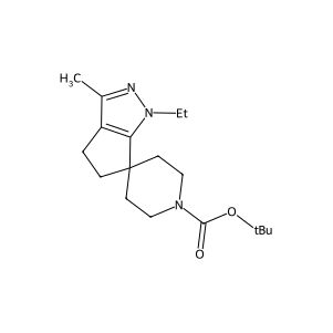 CCn1nc(C)c2c1C1(CC2)CCN(C(=O)OC(C)(C)C)CC1